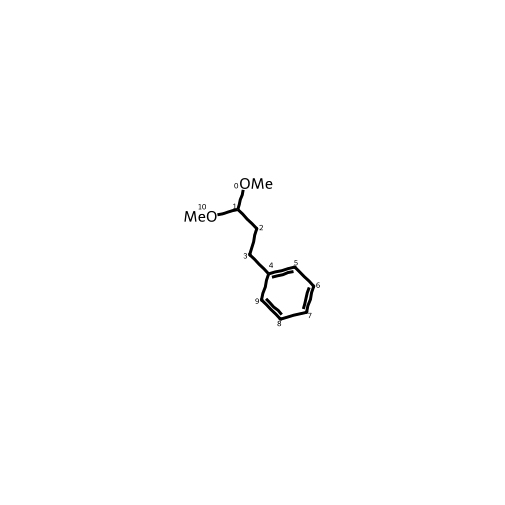 COC(CCc1ccccc1)OC